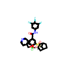 O=C(Nc1cc(F)c(F)c(F)c1)c1ccc(Cl)c(S(=O)(=O)[C@H]2C3CCC2C[C@H](COCc2ccncc2)C3)c1